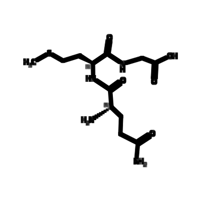 CSCC[C@H](NC(=O)[C@@H](N)CCC(N)=O)C(=O)NCC(=O)O